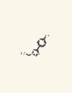 CCn1nnc(-c2ccc(N)nc2)n1